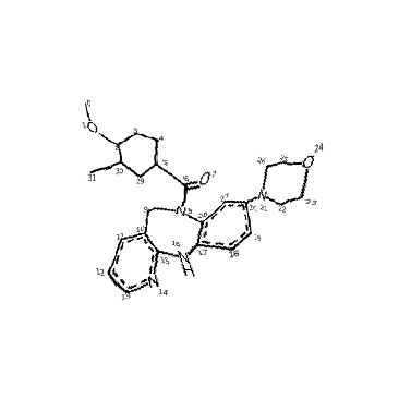 COC1CCC(C(=O)N2Cc3cccnc3Nc3ccc(N4CCOCC4)cc32)CC1C